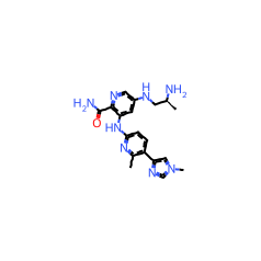 Cc1nc(Nc2cc(NC[C@H](C)N)cnc2C(N)=O)ccc1-c1cn(C)cn1